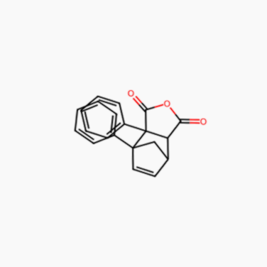 O=C1OC(=O)C2(c3ccccc3)C1C1C=CC2(c2ccccc2)C1